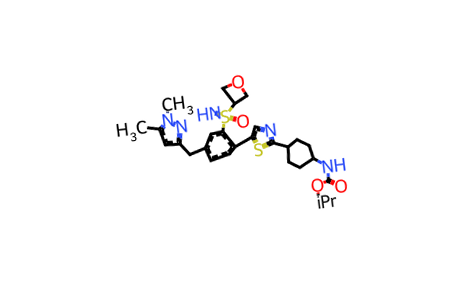 Cc1cc(Cc2ccc(-c3cnc(C4CCC(NC(=O)OC(C)C)CC4)s3)c(S(=N)(=O)C3COC3)c2)nn1C